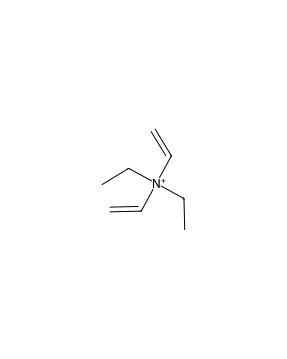 C=C[N+](C=C)(CC)CC